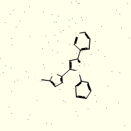 Brc1ccc(-c2cc(-c3cccnc3)nn2-c2ccccc2)o1